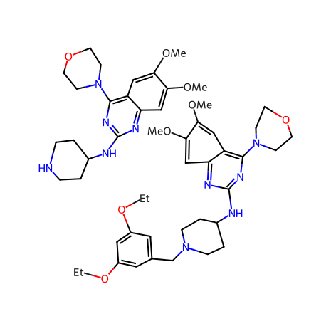 CCOc1cc(CN2CCC(Nc3nc(N4CCOCC4)c4cc(OC)c(OC)cc4n3)CC2)cc(OCC)c1.COc1cc2nc(NC3CCNCC3)nc(N3CCOCC3)c2cc1OC